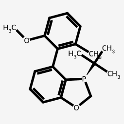 COc1cccc(C)c1-c1cccc2c1[P@@](C(C)(C)C)CO2